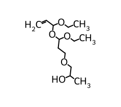 C=CC(OCC)OC(CCOCC(C)O)OCC